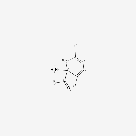 CC1=CC=C(C)C(N)(C(=O)O)O1